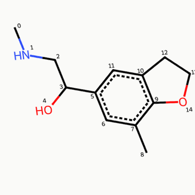 CNCC(O)c1cc(C)c2c(c1)CCO2